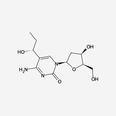 CC[C@@H](O)c1cn([C@H]2C[C@@H](O)[C@@H](CO)O2)c(=O)nc1N